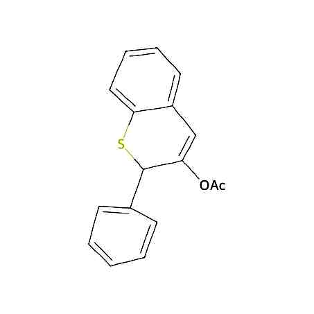 CC(=O)OC1=Cc2ccccc2SC1c1ccccc1